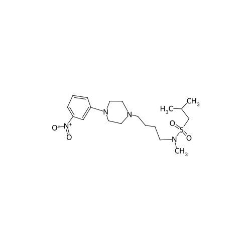 CC(C)CS(=O)(=O)N(C)CCCCN1CCN(c2cccc([N+](=O)[O-])c2)CC1